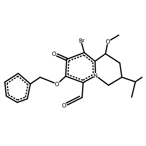 COC1CC(C(C)C)Cn2c(C=O)c(OCc3ccccc3)c(=O)c(Br)c21